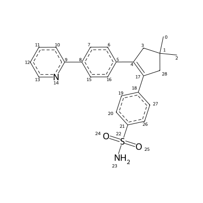 CC1(C)CC(c2ccc(-c3ccccn3)cc2)=C(c2ccc(S(N)(=O)=O)cc2)C1